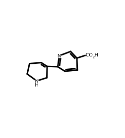 O=C(O)c1ccc(C2=CCCNC2)nc1